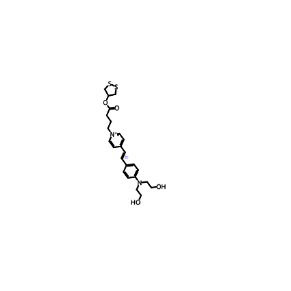 O=C(CCC[n+]1ccc(/C=C/c2ccc(N(CCO)CCO)cc2)cc1)OC1CSSC1